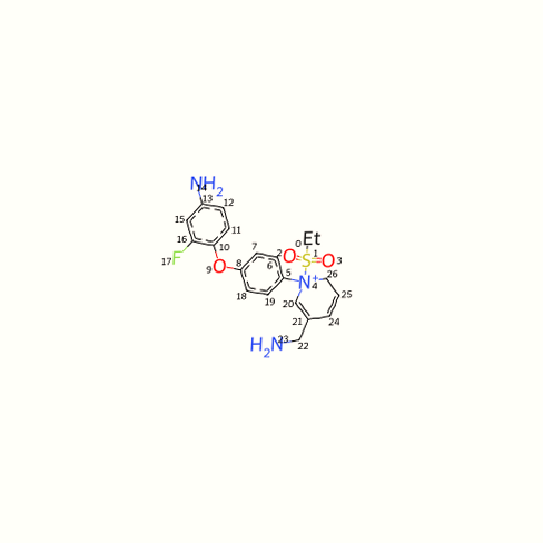 CCS(=O)(=O)[N+]1(c2ccc(Oc3ccc(N)cc3F)cc2)C=C(CN)C=CC1